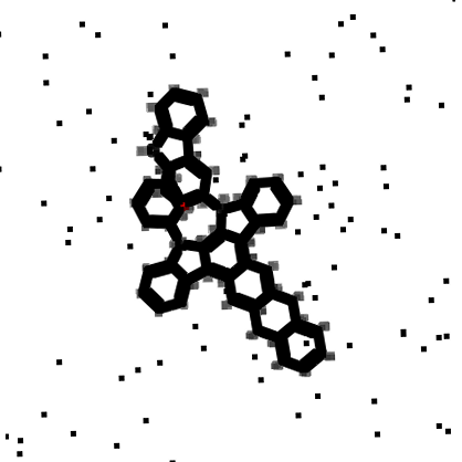 c1ccc(-n2c3ccccc3c3c4cc5c(cc4c4c6ccccc6n(-c6ccc7oc8ccccc8c7c6)c4c32)Cc2ccccc2C5)cc1